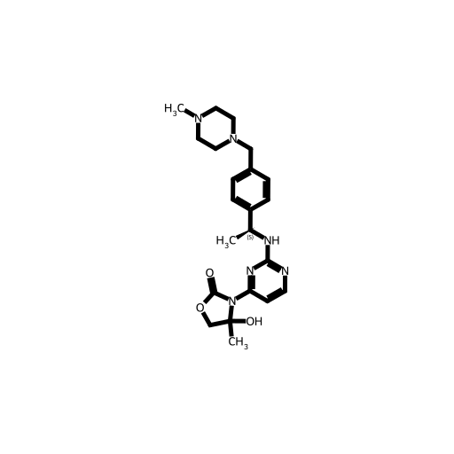 C[C@H](Nc1nccc(N2C(=O)OCC2(C)O)n1)c1ccc(CN2CCN(C)CC2)cc1